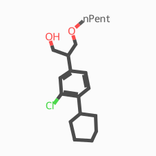 CCCCCOCC(CO)c1ccc(C2CCCCC2)c(Cl)c1